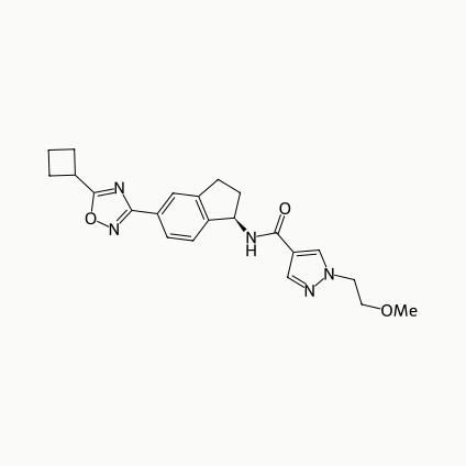 COCCn1cc(C(=O)N[C@@H]2CCc3cc(-c4noc(C5CCC5)n4)ccc32)cn1